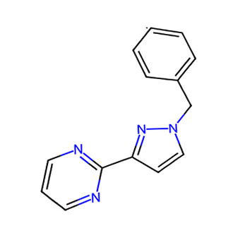 [c]1ccc(Cn2ccc(-c3ncccn3)n2)cc1